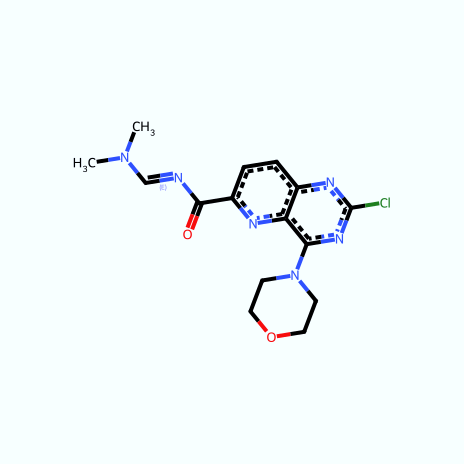 CN(C)/C=N/C(=O)c1ccc2nc(Cl)nc(N3CCOCC3)c2n1